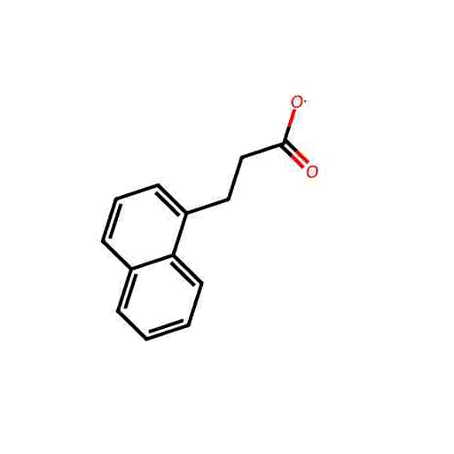 [O]C(=O)CCc1cccc2ccccc12